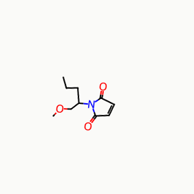 CCCC(COC)N1C(=O)C=CC1=O